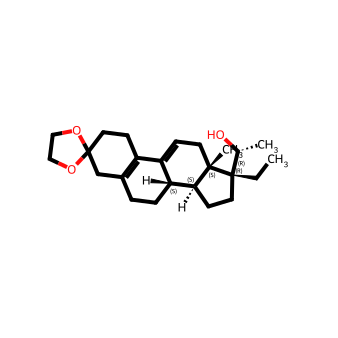 CC[C@@]1([C@@H](C)O)CC[C@H]2[C@@H]3CCC4=C(CCC5(C4)OCCO5)C3=CC[C@@]21C